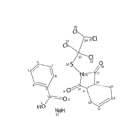 O=C(O)c1ccccc1.O=C1C2CC=CCC2C(=O)N1SC(Cl)(Cl)C(Cl)Cl.[NaH]